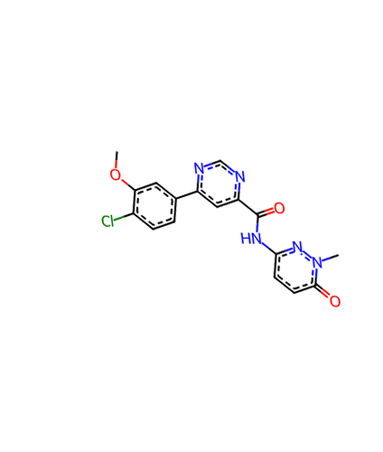 COc1cc(-c2cc(C(=O)Nc3ccc(=O)n(C)n3)ncn2)ccc1Cl